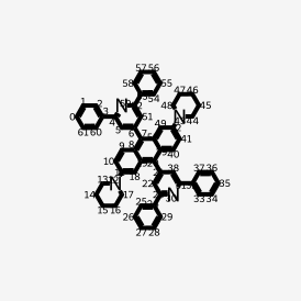 c1ccc(-c2cc(-c3c4ccc(N5CCCCC5)cc4c(-c4cc(-c5ccccc5)nc(-c5ccccc5)c4)c4ccc(N5CCCCC5)cc34)cc(-c3ccccc3)n2)cc1